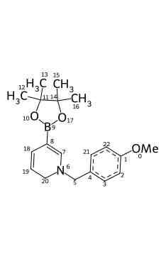 COc1ccc(CN2C=C(B3OC(C)(C)C(C)(C)O3)C=CC2)cc1